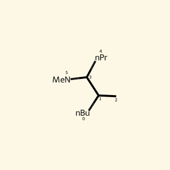 CCCCC(C)C(CCC)NC